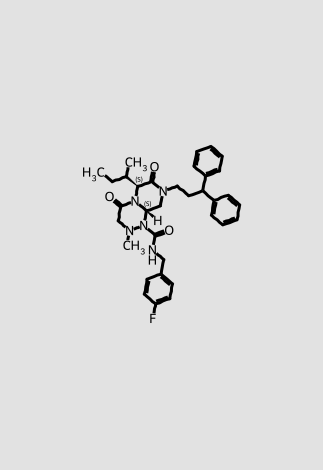 CCC(C)[C@H]1C(=O)N(CCC(c2ccccc2)c2ccccc2)C[C@H]2N1C(=O)CN(C)N2C(=O)NCc1ccc(F)cc1